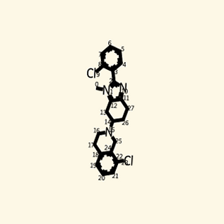 Cn1c(-c2ccccc2Cl)nc2c1CC(N1CCc3cccc(Cl)c3C1)CC2